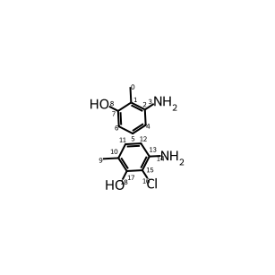 Cc1c(N)cccc1O.Cc1ccc(N)c(Cl)c1O